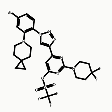 O=S(=O)(Oc1cc(-c2cn(-c3ccc(Br)cc3N3CCC4(CC3)CC4)nn2)nc(N2CCC(F)(F)CC2)n1)C(F)(F)F